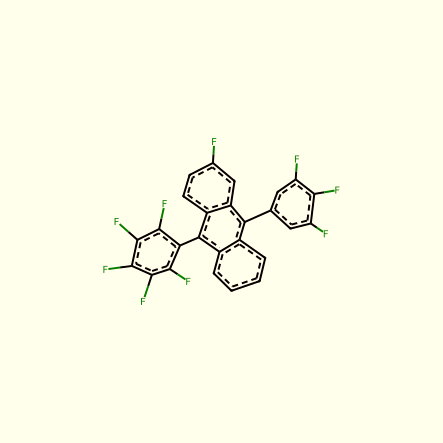 Fc1ccc2c(-c3c(F)c(F)c(F)c(F)c3F)c3ccccc3c(-c3cc(F)c(F)c(F)c3)c2c1